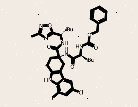 CCC(C)[C@H](NC(=O)OCc1ccccc1)C(=O)N[C@@]1(C(=O)N[C@H](c2nc(C)no2)C(C)CC)CCc2[nH]c3c(I)cc(Cl)cc3c2C1